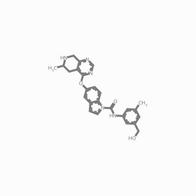 Cc1cc(CO)cc(NC(=O)n2ccc3cc(Oc4ncnc5c4CC(C)NC5)ccc32)c1